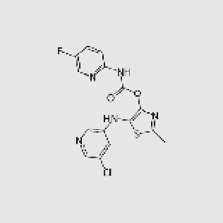 Cc1nc(OC(=O)Nc2ccc(F)cn2)c(Nc2cncc(Cl)c2)s1